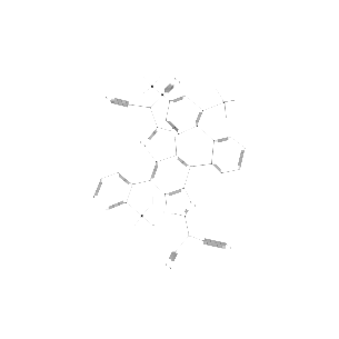 N#CC(C#N)c1nc2c(-c3ccccc3C(F)(F)F)c3oc(C(C#N)C#N)nc3c(-c3ccccc3-c3ccc(C(F)(F)F)cc3C(F)(F)F)c2o1